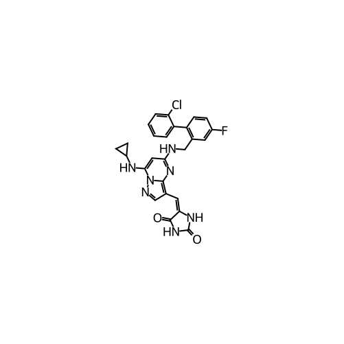 O=C1NC(=O)/C(=C\c2cnn3c(NC4CC4)cc(NCc4cc(F)ccc4-c4ccccc4Cl)nc23)N1